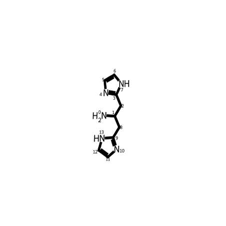 NC(Cc1ncc[nH]1)Cc1ncc[nH]1